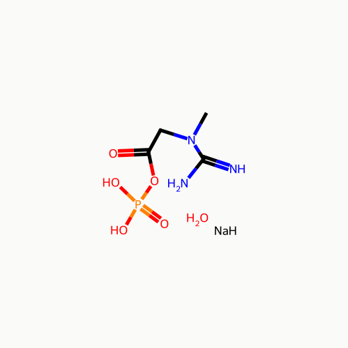 CN(CC(=O)OP(=O)(O)O)C(=N)N.O.[NaH]